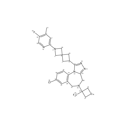 Cc1cc(N2CC3(CC(c4nnc5n4-c4ccc(Cl)cc4CN(C4(C(F)(F)F)COC4)C5)C3)C2)ncc1F